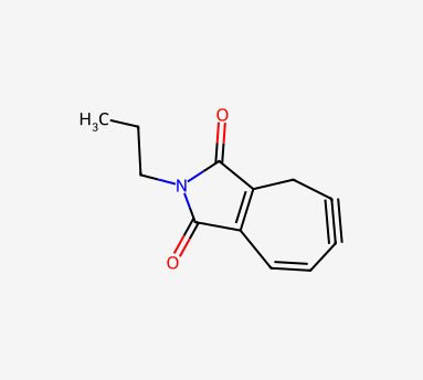 CCCN1C(=O)C2=C(CC#CC=C2)C1=O